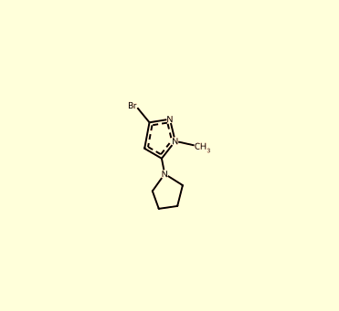 Cn1nc(Br)cc1N1CCCC1